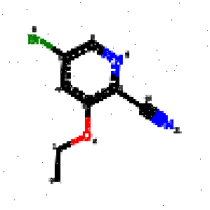 CCOc1cc(Br)cnc1C#N